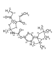 C=CC(=O)OCC(C)(COC(=O)C=C)NC(=O)Oc1ccc(C2(CC(C)(C)C)CC2(C)C)cc1